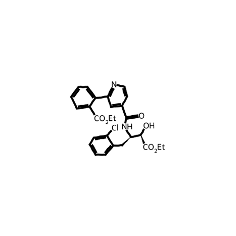 CCOC(=O)c1ccccc1-c1cc(C(=O)N[C@H](Cc2ccccc2Cl)[C@@H](O)C(=O)OCC)ccn1